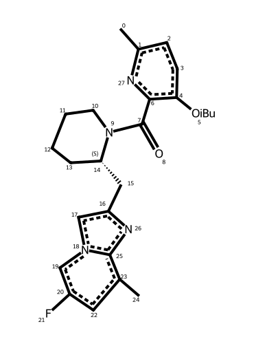 Cc1ccc(OCC(C)C)c(C(=O)N2CCCC[C@H]2Cc2cn3cc(F)cc(C)c3n2)n1